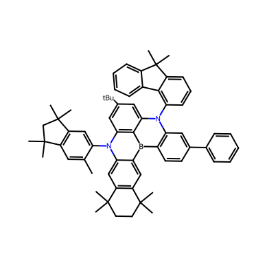 Cc1cc2c(cc1N1c3cc4c(cc3B3c5ccc(-c6ccccc6)cc5N(c5cccc6c5-c5ccccc5C6(C)C)c5cc(C(C)(C)C)cc1c53)C(C)(C)CCC4(C)C)C(C)(C)CC2(C)C